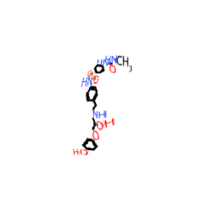 CNC(=O)Nc1ccc(S(=O)(=O)Nc2ccc(CCNC[C@H](O)COc3ccc(O)cc3)cc2)cc1